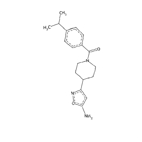 CC(C)c1ccc(C(=O)N2CCC(c3cc(N)on3)CC2)cc1